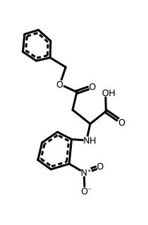 O=C(CC(Nc1ccccc1[N+](=O)[O-])C(=O)O)OCc1ccccc1